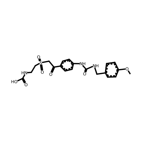 COc1ccc(CNC(=O)Nc2ccc(C(=O)CS(=O)(=O)CCNC(=O)O)cc2)cc1